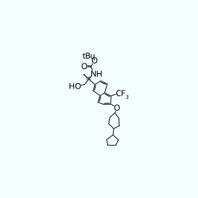 CC(C)(C)OC(=O)N[C@@](C)(CO)c1ccc2c(C(F)(F)F)c(OC3CCC(C4CCCC4)CC3)ccc2c1